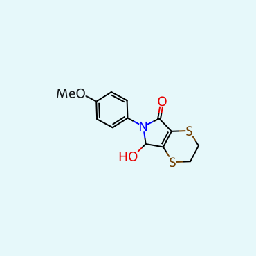 COc1ccc(N2C(=O)C3=C(SCCS3)C2O)cc1